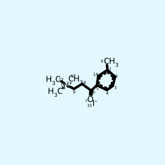 Cc1cccc(C(=O)CC[N+](C)(C)C)c1.[I-]